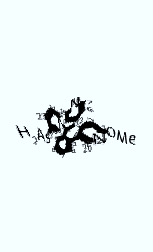 COc1ccc(-c2ccccc2C(C)[N+]2(c3cccnc3)C=C([AsH2])C=CC2)cn1